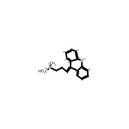 CN(CCC=C1c2ccccc2Oc2ccccc21)C(=O)O